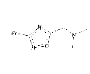 CC(C)c1noc(CN(C)C)n1